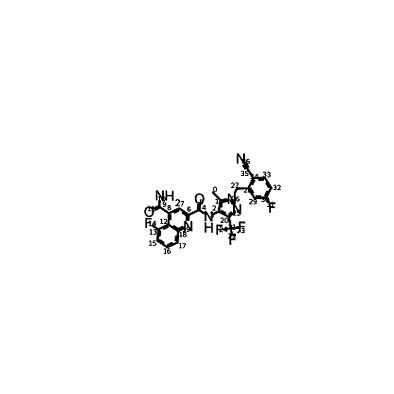 Cc1c(NC(=O)c2cc(C(N)=O)c3c(F)cccc3n2)c(C(F)(F)F)nn1Cc1cc(F)ccc1C#N